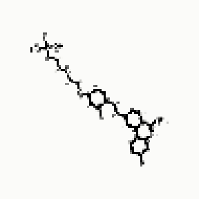 Cc1ccc2c(c1)nc(N)c1ncc(CCc3ccc(OCCOCCCP(=O)(O)O)cc3C)cc12